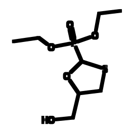 CCOP(=O)(OCC)C1OC(CO)CS1